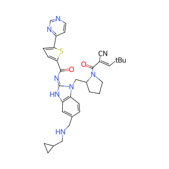 CC(C)(C)C=C(C#N)C(=O)N1CCCC1Cn1c(=NC(=O)c2ccc(-c3ccncn3)s2)[nH]c2cc(CNCC3CC3)ccc21